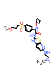 COCCCS(=O)(=O)c1ccc(/C(=N\OC2CCCC2)C(=O)Nc2nc3ccc(NCCN(C)C)nc3s2)cc1